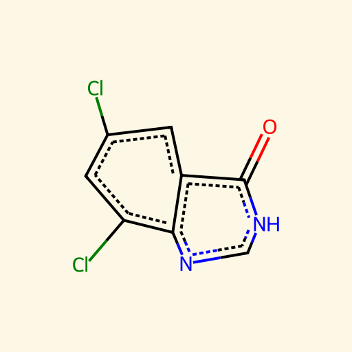 O=c1[nH]cnc2c(Cl)cc(Cl)cc12